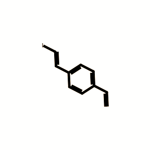 C=Cc1ccc(C=CI)cc1